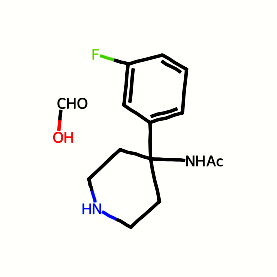 CC(=O)NC1(c2cccc(F)c2)CCNCC1.O=CO